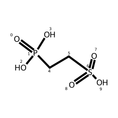 O=P(O)(O)CCS(=O)(=O)O